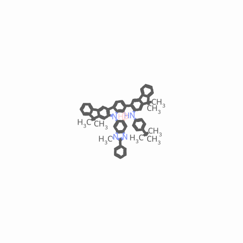 Cn1c(-c2ccccc2)nc2cc3c(cc21)-n1c2cc4c(cc2c2ccc(-c5cc6c(cc5Nc5ccc(C(C)(C)C)cc5)C(C)(C)c5ccccc5-6)c(c21)B3)-c1ccccc1C4(C)C